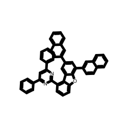 c1ccc(-c2cc(-c3ccccc3)nc(-c3cccc4oc5c(-c6ccc7ccccc7c6)cc(-c6ccc7ccccc7c6)cc5c34)n2)cc1